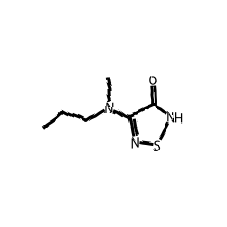 CCCN(C)c1ns[nH]c1=O